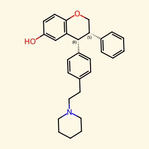 Oc1ccc2c(c1)[C@@H](c1ccc(CCN3CCCCC3)cc1)[C@@H](c1ccccc1)CO2